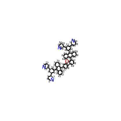 C1=C(c2cccnc2)CC(c2cccnc2)C=C1c1c2ccccc2c(-c2ccc3c(c2)oc2c(-c4c5ccccc5c(-c5cc(-c6cccnc6)cc(-c6cccnc6)c5)c5ccccc45)cccc23)c2ccccc12